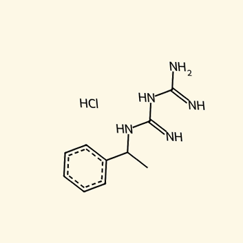 CC(NC(=N)NC(=N)N)c1ccccc1.Cl